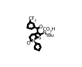 CC(C)(C)N(C(=O)O)c1sc2c(ccc(=O)n2-c2ccccc2)c1C(=O)c1cccc(C(F)(F)F)c1